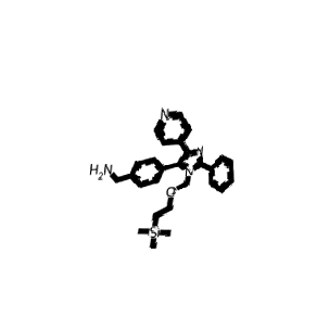 C[Si](C)(C)CCOCn1c(-c2ccccc2)nc(-c2ccncc2)c1-c1ccc(CN)cc1